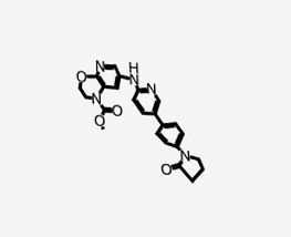 COC(=O)N1CCOc2ncc(Nc3ccc(-c4ccc(N5CCCC5=O)cc4)cn3)cc21